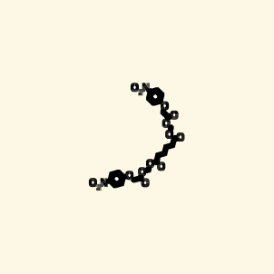 O=C(CCCCC(=O)OCOC(=O)COc1ccc([N+](=O)[O-])cc1)OCOC(=O)COc1ccc([N+](=O)[O-])cc1